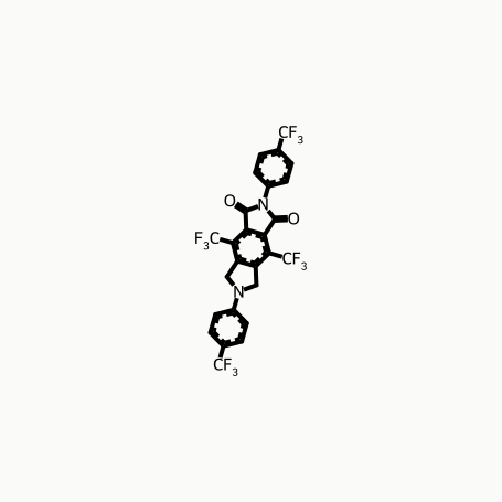 O=C1c2c(c(C(F)(F)F)c3c(c2C(F)(F)F)CN(c2ccc(C(F)(F)F)cc2)C3)C(=O)N1c1ccc(C(F)(F)F)cc1